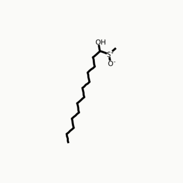 CCCCCCCCCCCCC(O)[S+](C)[O-]